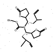 C=CC(C)C[C@@H](C1CCC(=O)O1)N(C(=O)OC(C)(C)C)[C@@H](CC(C)C=C)C1CCC(=O)O1